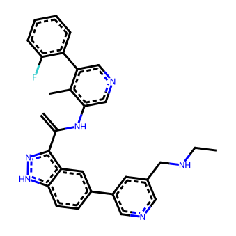 C=C(Nc1cncc(-c2ccccc2F)c1C)c1n[nH]c2ccc(-c3cncc(CNCC)c3)cc12